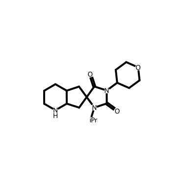 CC(C)N1C(=O)N(C2CCOCC2)C(=O)C12CC1CCCNC1C2